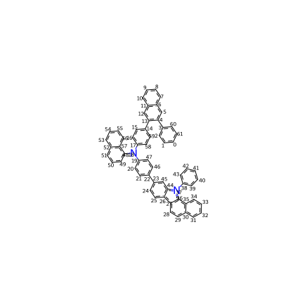 c1ccc(-c2cc3ccccc3cc2-c2ccc(N(c3ccc(-c4ccc5c6ccc7ccccc7c6n(-c6ccccc6)c5c4)cc3)c3cccc4ccccc34)cc2)cc1